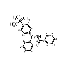 CC(C)(C)c1ccc(C(NC(=O)c2ccccc2)c2ccccc2)cc1